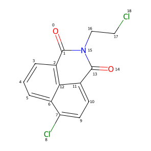 O=C1c2cccc3c(Cl)ccc(c23)C(=O)N1CCCl